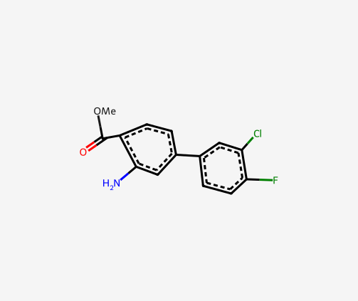 COC(=O)c1ccc(-c2ccc(F)c(Cl)c2)cc1N